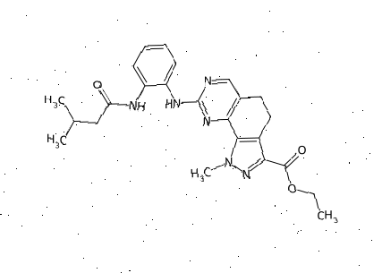 CCOC(=O)c1nn(C)c2c1CCc1cnc(Nc3ccccc3NC(=O)CC(C)C)nc1-2